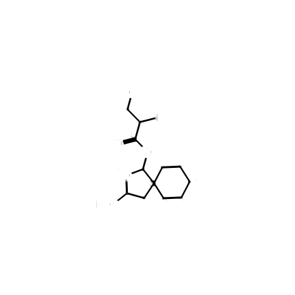 CCC(I)C(=O)OC1OC(C)CC12CCCCC2